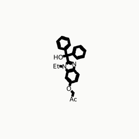 CCn1c(C(O)(c2ccccc2)c2ccccc2)nc2ccc(OCC(C)=O)cc21